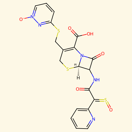 O=S=C(C(=O)NC1C(=O)N2C(C(=O)O)=C(CSc3ccc[n+]([O-])n3)CS[C@H]12)c1ccccn1